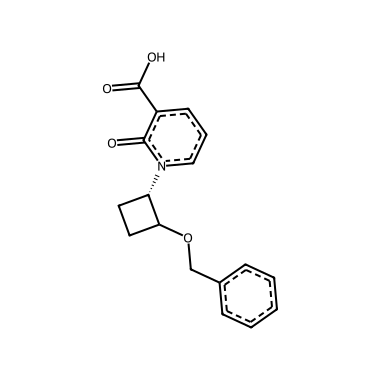 O=C(O)c1cccn([C@H]2CCC2OCc2ccccc2)c1=O